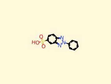 O=S(=O)(O)c1ccc2nn(-c3ccccc3)nc2c1